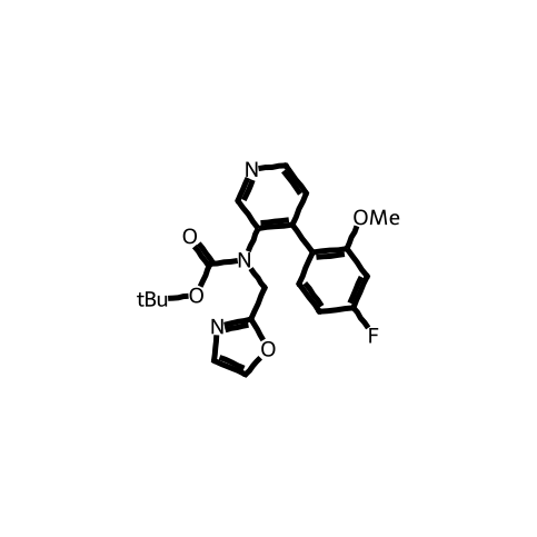 COc1cc(F)ccc1-c1ccncc1N(Cc1ncco1)C(=O)OC(C)(C)C